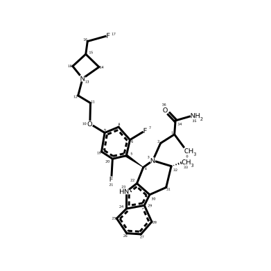 CC(CN1[C@H](c2c(F)cc(OCCN3CC(CF)C3)cc2F)c2[nH]c3ccccc3c2C[C@H]1C)C(N)=O